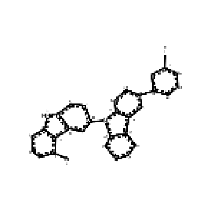 Brc1cccc2[nH]c3ccc(-n4c5ccccc5c5cc(-c6cccc(I)c6)ccc54)cc3c12